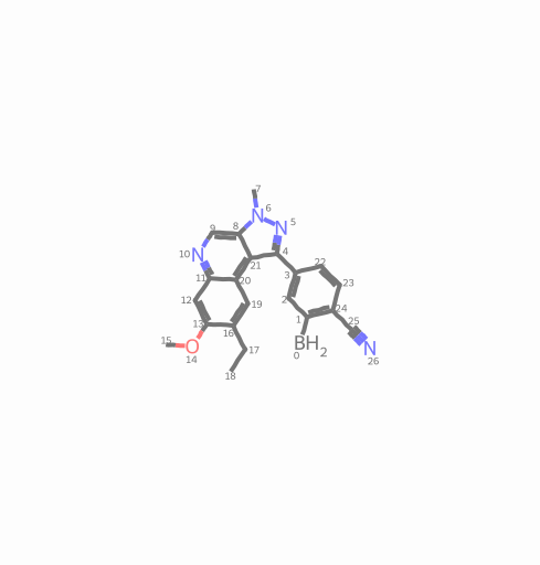 Bc1cc(-c2nn(C)c3cnc4cc(OC)c(CC)cc4c23)ccc1C#N